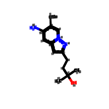 COc1cn2nc(CCC(C)(C)O)cc2cc1N